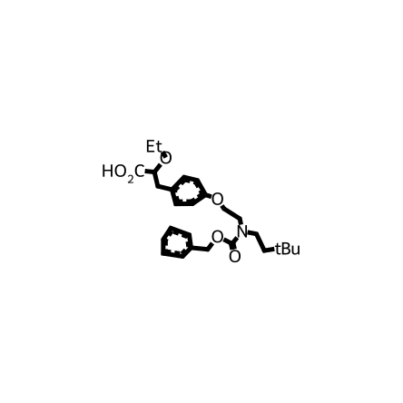 CCOC(Cc1ccc(OCCN(CCC(C)(C)C)C(=O)OCc2ccccc2)cc1)C(=O)O